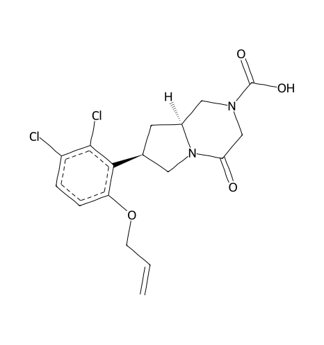 C=CCOc1ccc(Cl)c(Cl)c1[C@H]1C[C@H]2CN(C(=O)O)CC(=O)N2C1